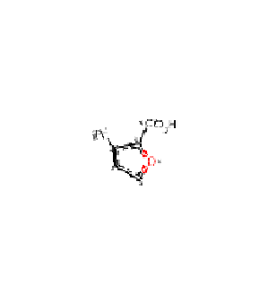 CC(C)c1ccoc1C(=O)O